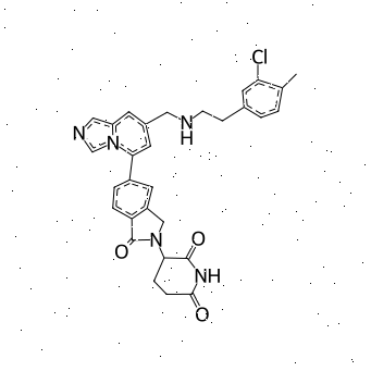 Cc1ccc(CCNCc2cc(-c3ccc4c(c3)CN(C3CCC(=O)NC3=O)C4=O)n3cncc3c2)cc1Cl